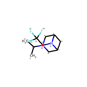 CC(C)N1CC2CC(C1)N2CC(F)(F)F